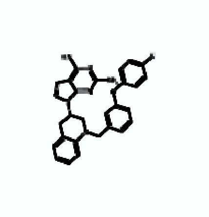 Nc1nc(N)c2cnn(C3Cc4ccccc4N(Cc4cccc(Oc5ccc(Cl)cc5)c4)C3)c2n1